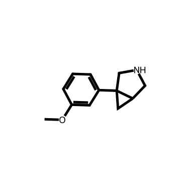 COc1cccc(C23CNCC2C3)c1